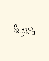 O=Cc1ccc(-c2cccc(-c3nc4c(Cl)cccc4[nH]3)c2)o1